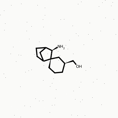 N[C@@H]1C2CCC(C2)[C@]12CCC[C@H](CO)C2